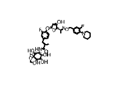 CC(=Cc1ccc(O[C@H]2C[C@@H](O)[C@@H](C(C)=NOCc3ccc(N4CCCCC4)c(F)c3)O2)c(F)c1)C(=O)N[C@@H]1[C@H](O)[C@@H](O)[C@H]2OCO[C@H]2[C@@H]1O